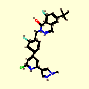 Cn1cc(-c2cc(-c3ccc(Cn4ncc5cc(C(C)(C)C)cc(F)c5c4=O)c(F)c3)cc(Cl)n2)cn1